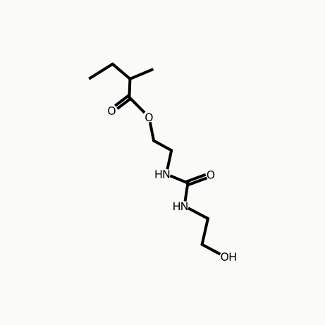 CCC(C)C(=O)OCCNC(=O)NCCO